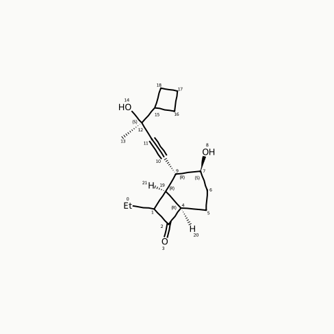 CCC1C(=O)[C@@H]2CC[C@H](O)[C@@H](C#C[C@@](C)(O)C3CCC3)[C@H]12